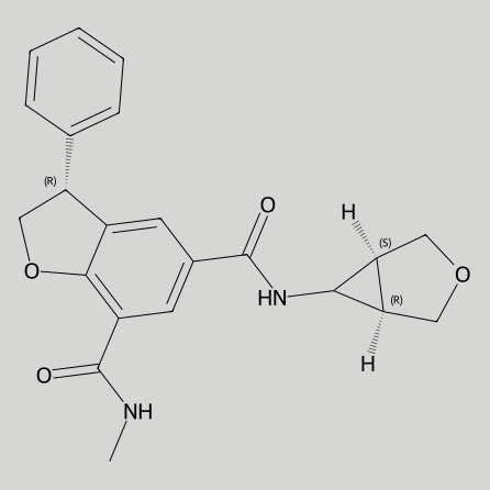 CNC(=O)c1cc(C(=O)NC2[C@H]3COC[C@@H]23)cc2c1OC[C@@H]2c1ccccc1